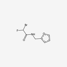 O=C(NCc1ccco1)C(F)Br